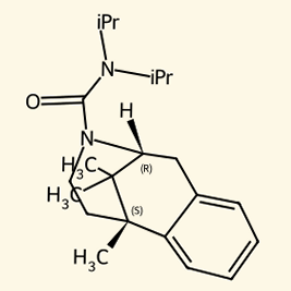 CC(C)N(C(=O)N1CC[C@@]2(C)c3ccccc3C[C@@H]1C2(C)C)C(C)C